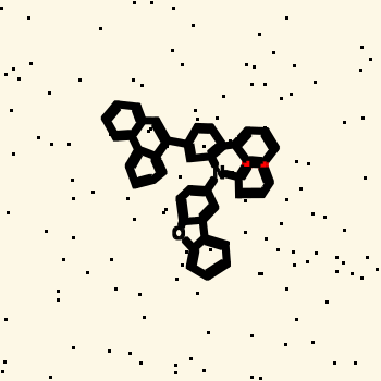 c1ccc(-c2ccc(-c3cc4ccccc4c4ccccc34)cc2N(c2ccccc2)c2ccc3oc4ccccc4c3c2)cc1